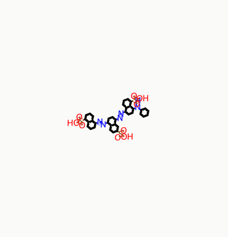 O=S(=O)(O)c1ccc2c(/N=N/c3cccc4c(S(=O)(=O)O)cccc34)ccc(/N=N/c3ccc(Nc4ccccc4)c4c(S(=O)(=O)O)cccc34)c2c1